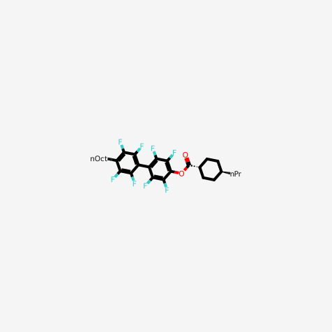 CCCCCCCCc1c(F)c(F)c(-c2c(F)c(F)c(OC(=O)[C@H]3CC[C@H](CCC)CC3)c(F)c2F)c(F)c1F